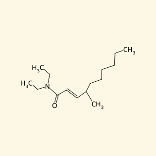 CCCCCCC(C)/C=C/C(=O)N(CC)CC